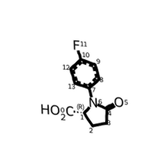 O=C(O)[C@H]1CCC(=O)N1c1ccc(F)cc1